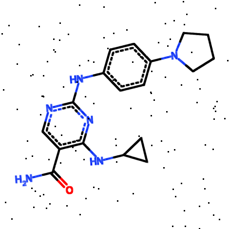 NC(=O)c1cnc(Nc2ccc(N3CCCC3)cc2)nc1NC1CC1